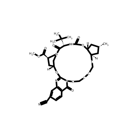 COC(=O)[C@@H]1C[C@@H]2CN1C(=O)[C@H](C(C)(C)C)NC(=O)O[C@@H]1C[C@H](C)C[C@H]1CCCCCCn1c(nc3cc(C#N)ccc3c1=O)O2